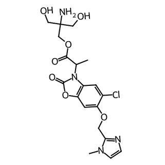 CC(C(=O)OCC(N)(CO)CO)n1c(=O)oc2cc(OCc3nccn3C)c(Cl)cc21